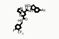 CC(=O)c1ccc2c(c1)C[C@@H](O)[C@@H]2NC(=O)c1cc(C(=O)NCc2ccc(F)c(C(F)(F)F)c2)nc2ccnn12